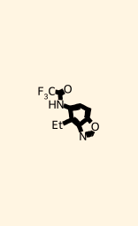 CCc1c(NC(=O)C(F)(F)F)ccc2ocnc12